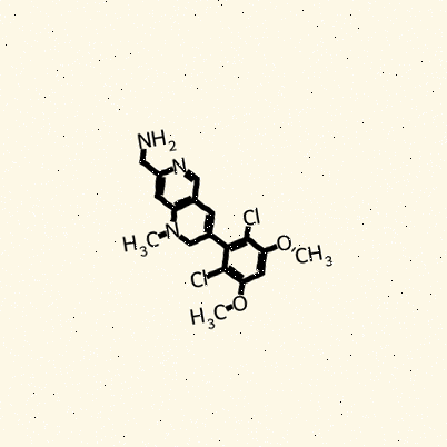 COc1cc(OC)c(Cl)c(C2=Cc3cnc(CN)cc3N(C)C2)c1Cl